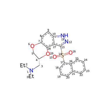 CCN(CC)C[C@@H]1COc2ccc3[nH]nc(S(=O)(=O)c4cccc5ccccc45)c3c2O1